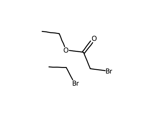 CCBr.CCOC(=O)CBr